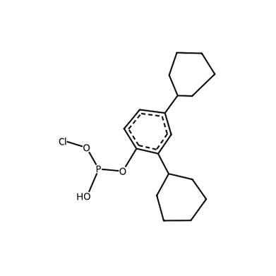 OP(OCl)Oc1ccc(C2CCCCC2)cc1C1CCCCC1